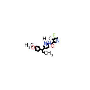 CCC(c1ccc(OC)cc1)c1ccc(NC(=O)c2cncc(F)c2C)nc1